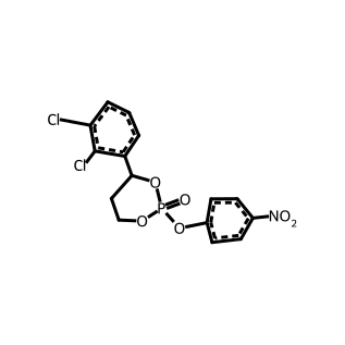 O=[N+]([O-])c1ccc(OP2(=O)OCCC(c3cccc(Cl)c3Cl)O2)cc1